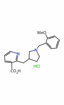 COc1ccccc1CN1CCC(Cc2ncccc2C(=O)O)C1.Cl